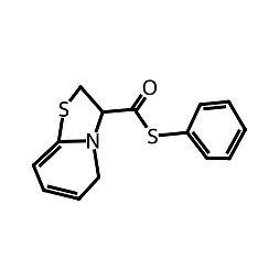 O=C(Sc1ccccc1)C1CSC2=CC=CCN21